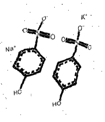 O=S(=O)([O-])c1ccc(O)cc1.O=S(=O)([O-])c1ccc(O)cc1.[K+].[Na+]